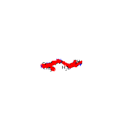 CCn1c2ccc(CN(C)C(=O)CCOCCOCCn3cc(COc4ccc(CCc5nc6cc(-c7c(C)noc7C)ccc6n5CCN5CCOCC5)cc4F)nn3)cc2c2ccc(-c3cscn3)cc21